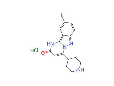 Cl.O=c1cc(C2CCNCC2)n2nc3ccc(I)cc3c2[nH]1